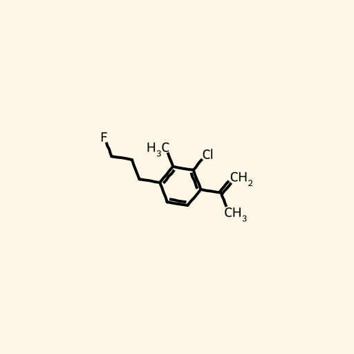 C=C(C)c1ccc(CCCF)c(C)c1Cl